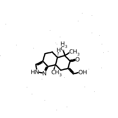 CC1(C)C(=O)/C(=C\O)C[C@]2(C)c3n[nH]cc3CC[C@@H]12